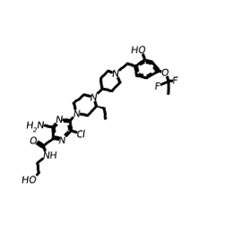 CC[C@H]1CN(c2nc(N)c(C(=O)NCCO)nc2Cl)CCN1C1CCN(Cc2ccc(OC(C)(F)F)cc2O)CC1